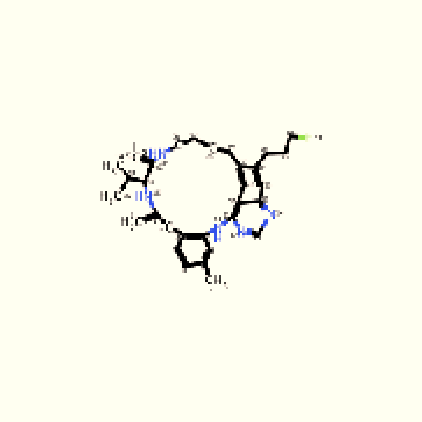 C=C1Cc2ccc(C)cc2Nc2ncnc3cc(CCCF)c(cc23)CCCCNC(=C)C(C(C)C)N1